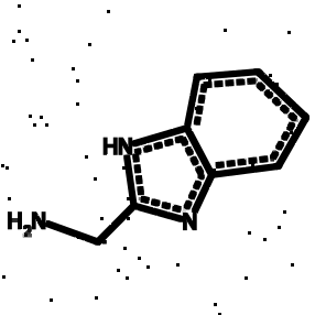 N[CH]c1nc2ccccc2[nH]1